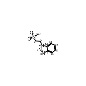 O=S(=O)(F)CCn1nnc2ccccc21